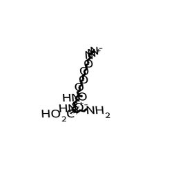 [N-]=[N+]=NCCOCCOCCOCCOCCC(=O)NCC[S+]([O-])N[C@@H](CCCCN)C(=O)O